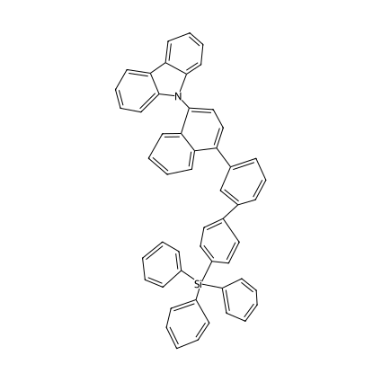 c1ccc([Si](c2ccccc2)(c2ccccc2)c2ccc(-c3cccc(-c4ccc(-n5c6ccccc6c6ccccc65)c5ccccc45)c3)cc2)cc1